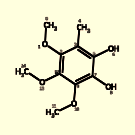 COc1c(C)c(O)c(O)c(OC)c1OC